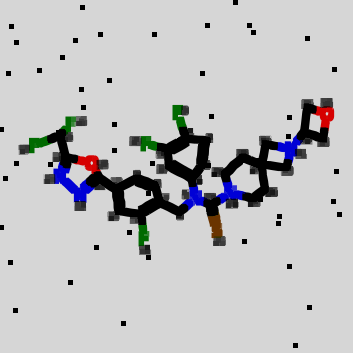 Fc1ccc(N(Cc2ccc(-c3nnc(C(F)F)o3)cc2F)C(=S)N2CCC3(CC2)CN(C2COC2)C3)cc1F